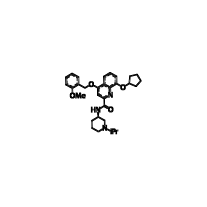 COc1ccccc1COc1cc(C(=O)N[C@@H]2CCCN(C(C)C)C2)nc2c(OC3CCCC3)cccc12